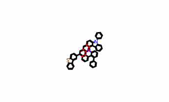 c1ccc(-c2ccccc2-c2c(-c3ccccc3)cccc2N(c2ccc(-c3ccc4sc5ccccc5c4c3)cc2)c2cccc3c2c2ccccc2n3-c2ccccc2)cc1